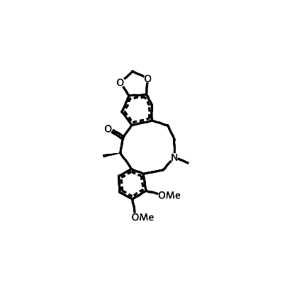 COc1ccc2c(c1OC)CN(C)CCc1cc3c(cc1C(=O)[C@@H]2C)OCO3